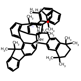 C/C1=C(\c2c(C)cccc2C)NNc2c3cc4c(c2-c2cccc1c2-c1ccc(-c2ccccc2C)c(C)c1N3c1cc2c(cc1C)C(C)(C)CCC2(C)C)C(C)(C)c1ccccc1-4